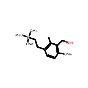 COc1ccc(CC[Si](OC)(OC)OC)c(C)c1CO